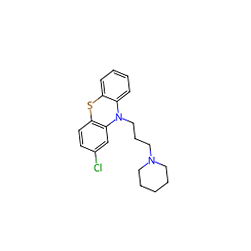 Clc1ccc2c(c1)N(CCCN1CCCCC1)c1ccccc1S2